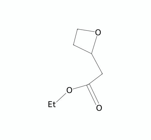 CCOC(=O)CC1CCO1